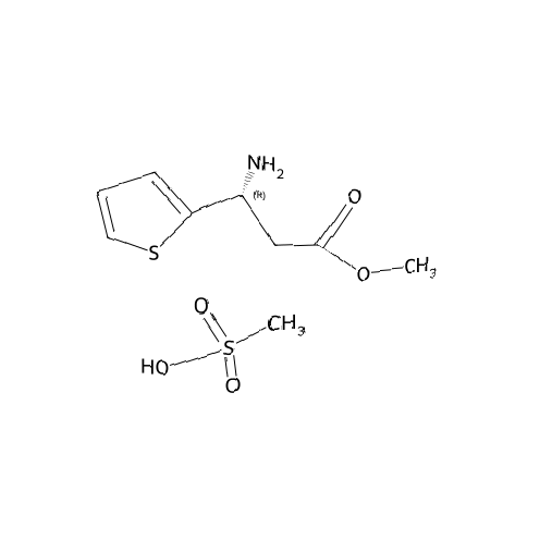 COC(=O)C[C@@H](N)c1cccs1.CS(=O)(=O)O